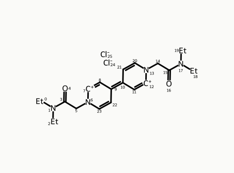 CCN(CC)C(=O)CN1[C+]=CC(=C2C=[C+]N(CC(=O)N(CC)CC)C=C2)C=C1.[Cl-].[Cl-]